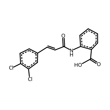 O=C(/C=C/c1ccc(Cl)c(Cl)c1)Nc1ccccc1C(=O)O